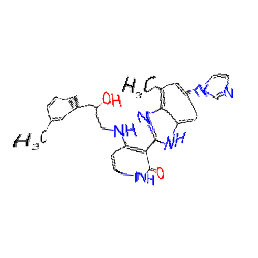 Cc1cccc(C(O)CNc2cc[nH]c(=O)c2-c2nc3c(C)cc(-n4ccnc4)cc3[nH]2)c1